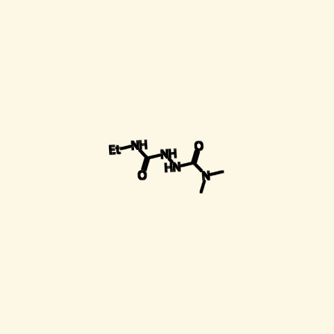 CCNC(=O)NNC(=O)N(C)C